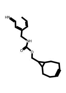 C/C=C\C(=C/C=N)CNC(=O)OCC1C2CCC#CCCC21